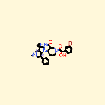 C=N/C=C(\C=C(/C)c1ccccc1)C1(c2nc3c(c(=O)[nH]2)CN(C(=O)C(O)c2cccc(Br)c2)CCC3)CC1